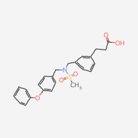 CS(=O)(=O)N(Cc1ccc(Oc2ccccc2)cc1)Cc1cccc(CCC(=O)O)c1